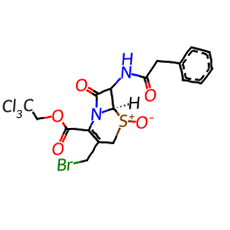 O=C(Cc1ccccc1)NC1C(=O)N2C(C(=O)OCC(Cl)(Cl)Cl)=C(CBr)C[S+]([O-])[C@H]12